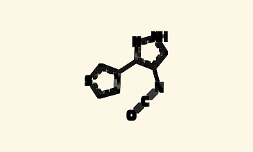 O=C=Nc1c[nH]nc1-c1ccsc1